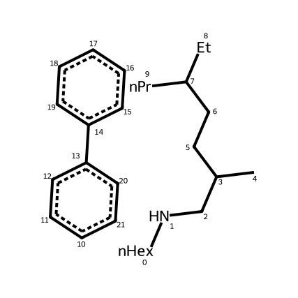 CCCCCCNCC(C)CCC(CC)CCC.c1ccc(-c2ccccc2)cc1